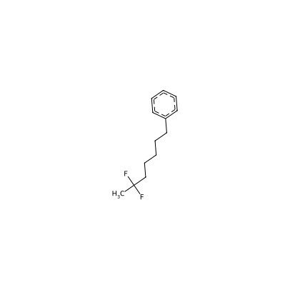 CC(F)(F)CCCCCc1ccccc1